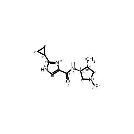 CC(C)N1C[C@@H](C)[C@H](NC(=O)c2c[nH]c(C3CC3)n2)C1